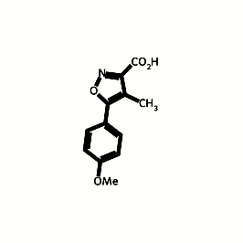 COc1ccc(-c2onc(C(=O)O)c2C)cc1